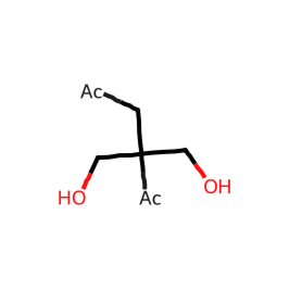 CC(=O)CC(CO)(CO)C(C)=O